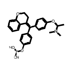 CC(Oc1ccc(C(=C2CCOc3ccccc32)c2ccc(OP(O)O)cc2)cc1)N(C)C